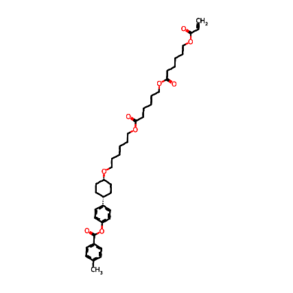 C=CC(=O)OCCCCCC(=O)OCCCCCC(=O)OCCCCCCO[C@H]1CC[C@H](c2ccc(OC(=O)c3ccc(C)cc3)cc2)CC1